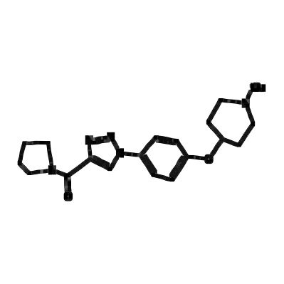 CC(C)(C)N1CCC(Oc2ccc(-n3cc(C(=O)N4CCCC4)nn3)cc2)CC1